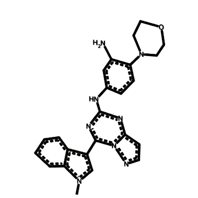 Cn1cc(-c2nc(Nc3ccc(N4CCOCC4)c(N)c3)nc3ccnn23)c2ccccc21